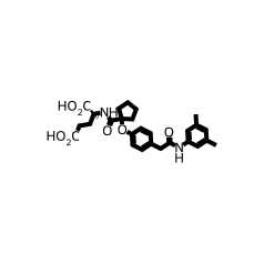 Cc1cc(C)cc(NC(=O)Cc2ccc(OC3(C(=O)N[C@@H](CCC(=O)O)C(=O)O)CCCC3)cc2)c1